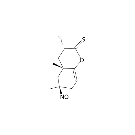 C[C@H]1C[C@@]2(C)C[C@](C)(N=O)CC=C2OC1=S